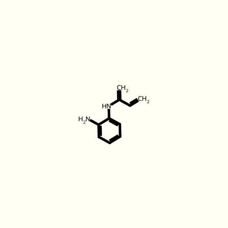 C=CC(=C)Nc1ccccc1N